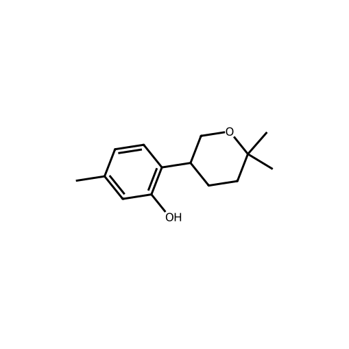 Cc1ccc(C2CCC(C)(C)OC2)c(O)c1